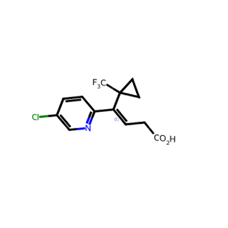 O=C(O)C/C=C(/c1ccc(Cl)cn1)C1(C(F)(F)F)CC1